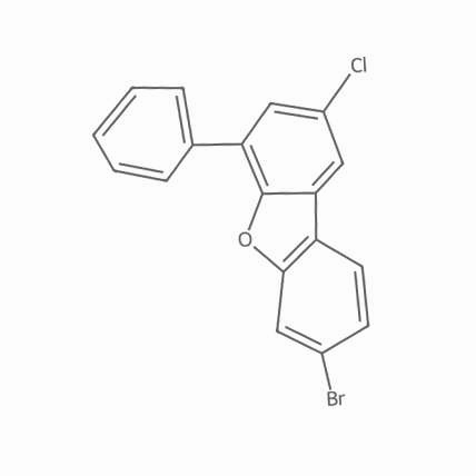 Clc1cc(-c2ccccc2)c2oc3cc(Br)ccc3c2c1